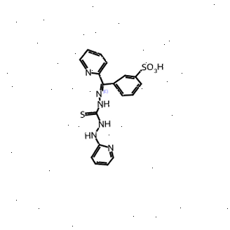 O=S(=O)(O)c1cccc(/C(=N\NC(=S)NNc2ccccn2)c2ccccn2)c1